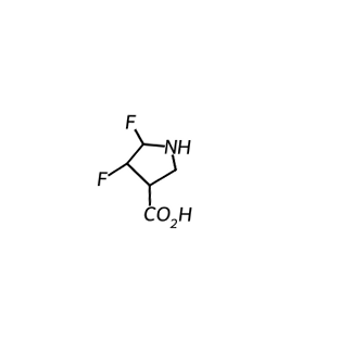 O=C(O)C1CNC(F)C1F